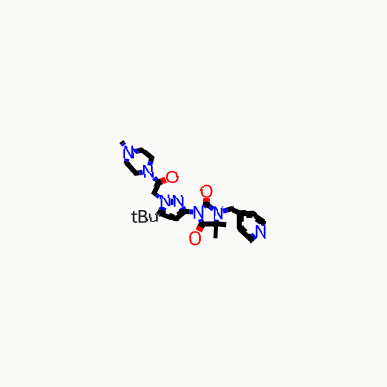 CN1CCN(C(=O)Cn2nc(N3C(=O)N(Cc4ccncc4)C(C)(C)C3=O)cc2C(C)(C)C)CC1